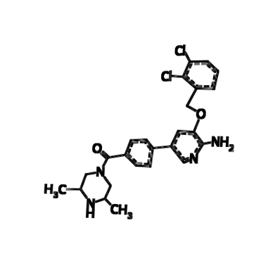 CC1CN(C(=O)c2ccc(-c3cnc(N)c(OCc4cccc(Cl)c4Cl)c3)cc2)CC(C)N1